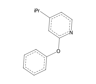 CC(C)c1ccnc(Oc2ccccc2)c1